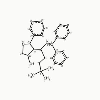 CC(C)(C)CCC(O[SiH](c1ccccc1)c1ccccc1)C1C(O)COC1c1cccnc1